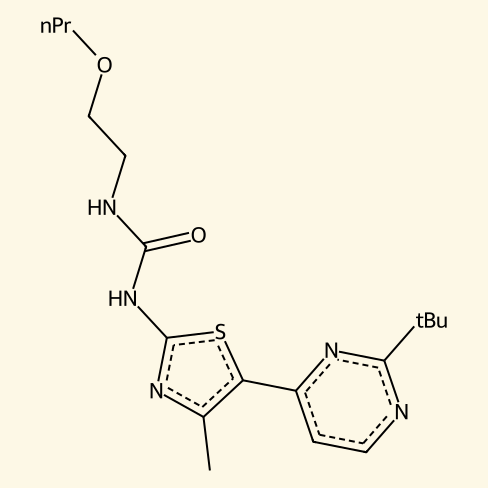 CCCOCCNC(=O)Nc1nc(C)c(-c2ccnc(C(C)(C)C)n2)s1